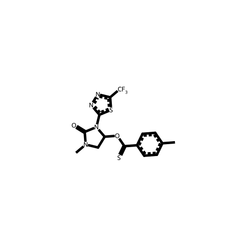 Cc1ccc(C(=S)OC2CN(C)C(=O)N2c2nnc(C(F)(F)F)s2)cc1